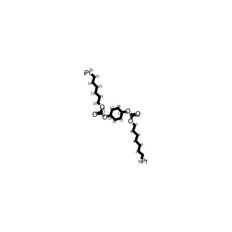 CC(C)CCCCCCCOC(=O)OC1CCC(OC(=O)OCCCCCCC(C)C)CC1